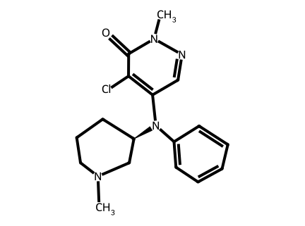 CN1CCC[C@@H](N(c2ccccc2)c2cnn(C)c(=O)c2Cl)C1